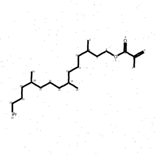 C=C(C)C(=O)OCCC(C)CCCC(C)CCCC(C)CCCC(C)C